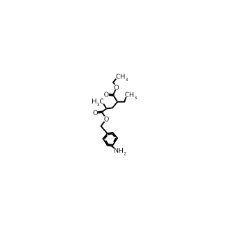 CCOC(=O)C(CC)CC(C)C(=O)OCc1ccc(N)cc1